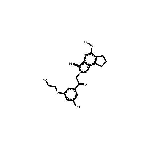 CCOc1nn2c(=N)n(CC(=O)c3cc(OCCO)cc(C(C)(C)C)c3)nc2c2c1CCC2